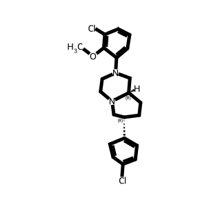 COc1c(Cl)[c]ccc1N1CCN2C[C@@H](c3ccc(Cl)cc3)CC[C@@H]2C1